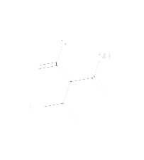 CC(C(C(N)=O)C(N)=O)C(F)(F)F